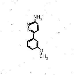 COc1cccc(-c2ccc(N)nn2)c1